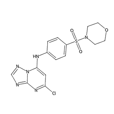 O=S(=O)(c1ccc(Nc2cc(Cl)nc3ncnn23)cc1)N1CCOCC1